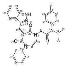 Cc1ccc(N(C(=O)CN2C=CN(c3ccccc3)C(=O)/C(=C/c3n[nH]c4ccccc34)C2=O)C(C)C)cc1